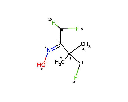 CC(C)(CF)/C(=N\O)C(F)F